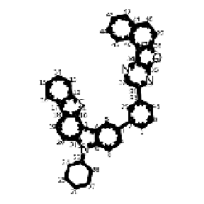 c1cc(-c2ccc3c(c2)c2c4sc5ccccc5c4ccc2n3C2CCCCC2)cc(-c2cnc3c(n2)oc2ccc4ccccc4c23)c1